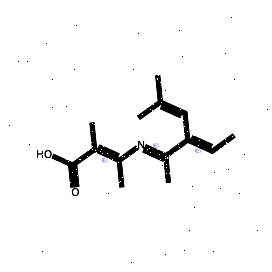 C/C=C(C=C(C)C)/C(C)=N/C(C)=C(\C)C(=O)O